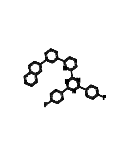 Fc1ccc(-c2nc(-c3ccc(F)cc3)nc(-c3cccc(-c4cccc(-c5ccc6ccccc6c5)c4)n3)n2)cc1